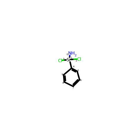 N[Si](Cl)(Cl)c1ccccc1